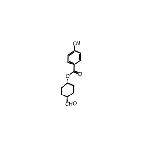 N#Cc1ccc(C(=O)O[C@H]2CC[C@H](C=O)CC2)cc1